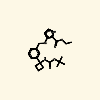 CCOC(=O)c1[nH]ccc1NCc1cccc(C2(NC(=O)OC(C)(C)C)CCC2)c1